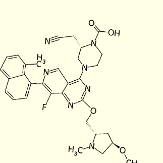 CO[C@@H]1C[C@@H](COc2nc(N3CCN(C(=O)O)[C@@H](CC#N)C3)c3cnc(-c4cccc5cccc(C)c45)c(F)c3n2)N(C)C1